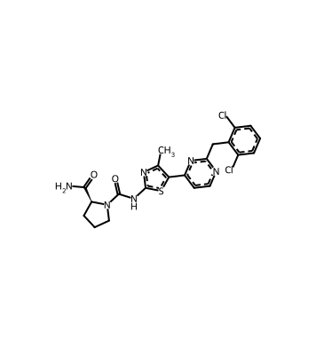 Cc1nc(NC(=O)N2CCC[C@H]2C(N)=O)sc1-c1ccnc(Cc2c(Cl)cccc2Cl)n1